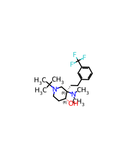 CN(C)[C@]1(CCc2cccc(C(F)(F)F)c2)CN(C(C)(C)C)CC[C@H]1O